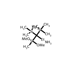 CCC([Si](C)(C)C)([Si](C)(C)C)[Si](C)(OC)OC.N